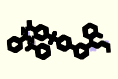 C=C(/N=C(\N=C(/C)c1ccccc1)C1=CCCC=C1)c1ccc(C(C)(C)c2ccc(-c3cccc(/C(=C/C=C\C)C4=C(C)CCC=C4)c3)cc2)cc1